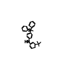 CC(C)(C)c1cccc(Nc2ccc([Si](C)(c3ccccc3)c3ccccc3)cc2)c1